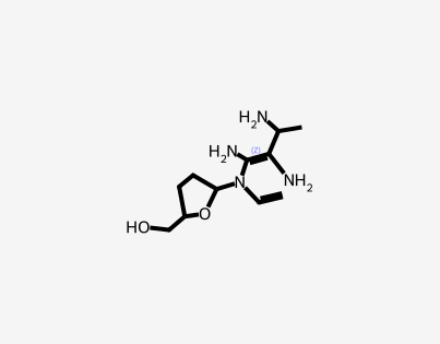 C=CN(/C(N)=C(\N)C(C)N)C1CCC(CO)O1